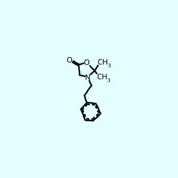 CC1(C)OC(=O)CN1CCc1ccccc1